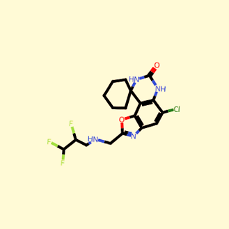 O=C1Nc2c(Cl)cc3nc(CNCC(F)C(F)F)oc3c2C2(CCCCC2)N1